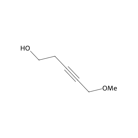 COCC#CCCO